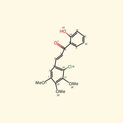 COc1cc(C=CC(=O)c2ccccc2O)c(Cl)c(OC)c1OC